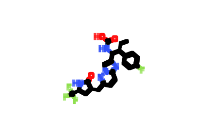 CC[C@@H](c1ccc(F)cc1)[C@H](NC(=O)O)c1cn2nc(C[C@H]3C[C@@H](C(F)(F)F)NC3=O)ccc2n1